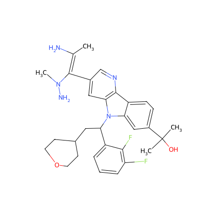 C/C(N)=C(\c1cnc2c3ccc(C(C)(C)O)cc3n(C(CC3CCOCC3)c3cccc(F)c3F)c2c1)N(C)N